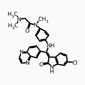 CN(C)CC(=O)N(C)c1ccc(NC(=C2C(=O)Nc3cc(Cl)ccc32)c2ccc3nccnc3c2)cc1